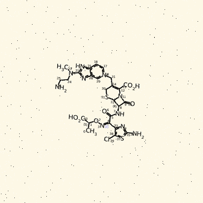 C[C@H](O/N=C(\C(=O)N[C@@H]1C(=O)N2C(C(=O)O)=C(C[n+]3ccc4[nH]c(N(C)CCN)nc4c3)CSC12)c1nc(N)sc1Cl)C(=O)O